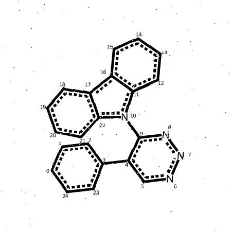 c1ccc(-c2cnnnc2-n2c3ccccc3c3ccccc32)cc1